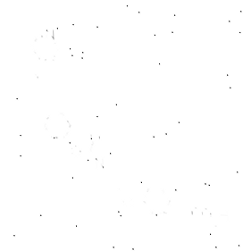 O=C(O)Cc1ccc(OC2CCN(C(=O)Oc3ccc(CCSc4ccncc4)cc3)CC2)cc1